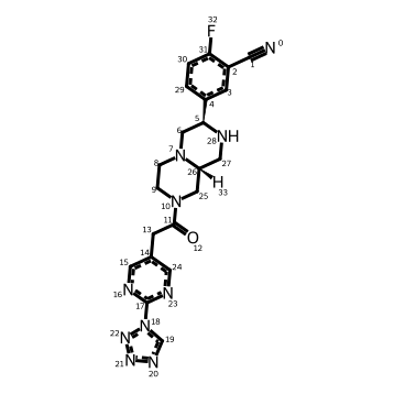 N#Cc1cc([C@@H]2CN3CCN(C(=O)Cc4cnc(-n5cnnn5)nc4)C[C@H]3CN2)ccc1F